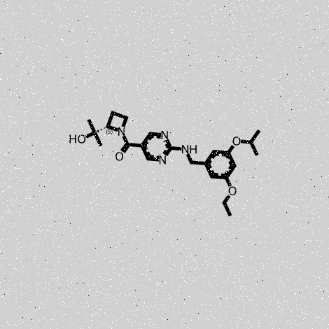 CCOc1cc(CNc2ncc(C(=O)N3CC[C@H]3C(C)(C)O)cn2)cc(OC(C)C)c1